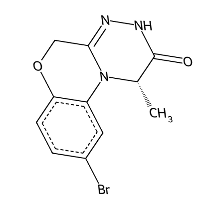 C[C@H]1C(=O)NN=C2COc3ccc(Br)cc3N21